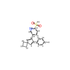 Cc1ccc(C2=CC3(C=C2c2ccc(S(C)(=O)=O)nc2)CCC3)cc1